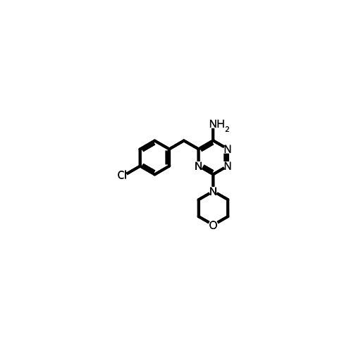 Nc1nnc(N2CCOCC2)nc1Cc1ccc(Cl)cc1